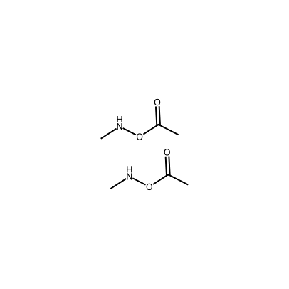 CNOC(C)=O.CNOC(C)=O